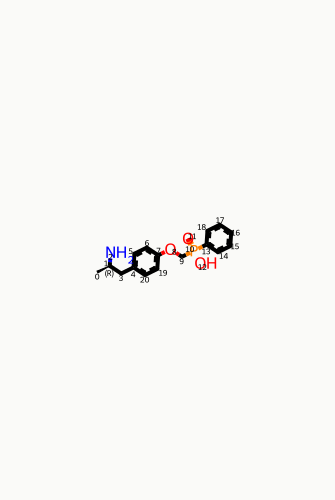 C[C@@H](N)Cc1ccc(OCP(=O)(O)c2ccccc2)cc1